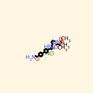 COC(=O)NC(C(=O)N1CCCC1c1ncc(-c2ccc(-c3ccc(C(=O)CN)cc3)cc2)[nH]1)C(C)C.Cl